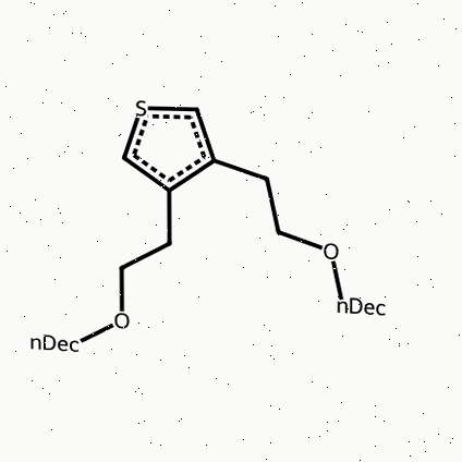 CCCCCCCCCCOCCc1cscc1CCOCCCCCCCCCC